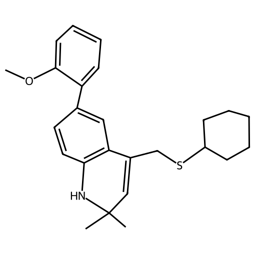 COc1ccccc1-c1ccc2c(c1)C(CSC1CCCCC1)=CC(C)(C)N2